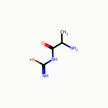 CC(N)C(=O)NC(=N)S